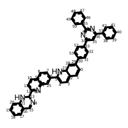 C1=CC2=CC=C(c3ccc4ccc(C5N=Cc6ccccc6N5)nc4c3)NC2C=C1c1ccc(-c2cc(-c3ccccc3)nc(-c3ccccc3)n2)cc1